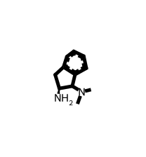 CN(C)C1c2ccccc2C[C@@H]1N